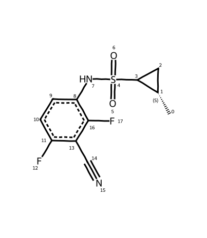 C[C@H]1CC1S(=O)(=O)Nc1ccc(F)c(C#N)c1F